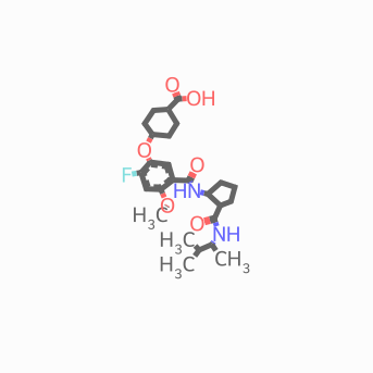 COc1cc(F)c(OC2CCC(C(=O)O)CC2)cc1C(=O)NC1CCCC1C(=O)NC(C)C(C)C